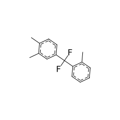 Cc1ccc(C(F)(F)c2ccccc2C)cc1C